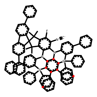 [C-]#[N+]c1c(F)c2c(c(N3c4ccc(-c5ccccc5)cc4[Si](c4ccccc4)(c4ccccc4)c4cc(-c5ccccc5)ccc43)c1N1c3ccc(-c4ccccc4)cc3[Si](c3ccccc3)(c3ccccc3)c3cc(-c4ccccc4)ccc31)C(C)(C)C1(c3cc(-c4ccccc4)ccc3-c3ccc(-c4ccccc4)cc31)C2(C)C